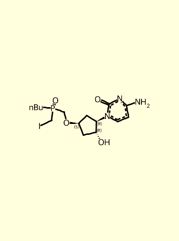 CCCCP(=O)(CI)CO[C@@H]1C[C@@H](O)[C@H](n2ccc(N)nc2=O)C1